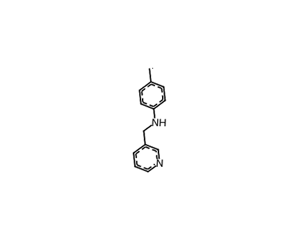 [CH2]c1ccc(NCc2cccnc2)cc1